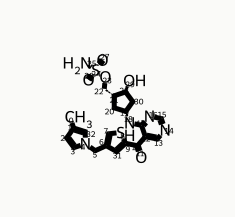 Cc1ccn(Cc2csc(C(=O)c3cncnc3N[C@@H]3C[C@H](COS(N)(=O)=O)[C@@H](O)C3)c2)c1